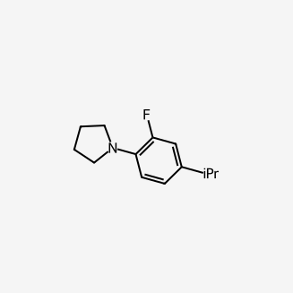 CC(C)c1ccc(N2CCCC2)c(F)c1